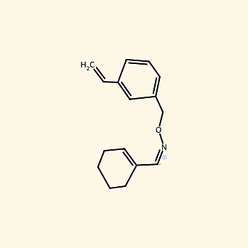 C=Cc1cccc(CO/N=[C]\C2=CCCCC2)c1